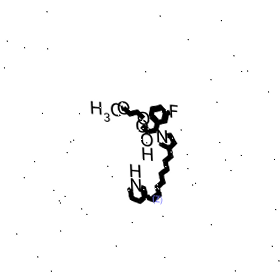 COCCOc1ccc(F)cc1C(C(=O)O)N1CCC(CCCCCC/C=C\C2=CNCCC2)C1